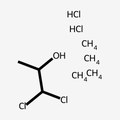 C.C.C.C.CC(O)C(Cl)Cl.Cl.Cl